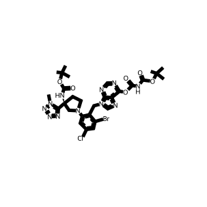 Cn1nnnc1[C@@]1(NC(=O)OC(C)(C)C)CCN(c2cc(Cl)cc(Br)c2Cn2cnc3c(OC(=O)NC(=O)OC(C)(C)C)ncnc32)C1